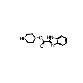 O=C(OC1CCNCC1)c1nc2ccccc2[nH]1